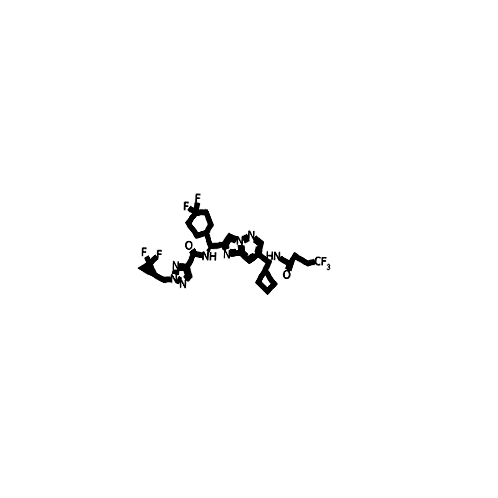 O=C(CCC(F)(F)F)N[C@@H](c1cnn2cc([C@@H](NC(=O)c3cnn(CC4CC4(F)F)n3)C3CCC(F)(F)CC3)nc2c1)C1CCC1